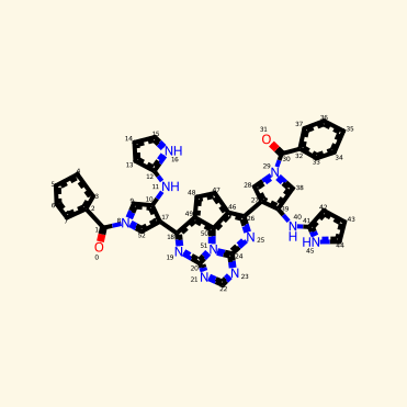 O=C(c1ccccc1)n1cc(Nc2ccc[nH]2)c(-c2nc3ncnc4nc(-c5cn(C(=O)c6ccccc6)cc5Nc5ccc[nH]5)c5ccc2c5n34)c1